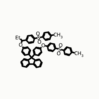 CCC(Oc1ccc(C2(c3ccc(Oc4ccc(S(=O)(=O)c5ccc(C)cc5)cc4)cc3)c3ccccc3-c3ccccc32)cc1)c1ccc(S(=O)(=O)c2ccc(C)cc2)cc1